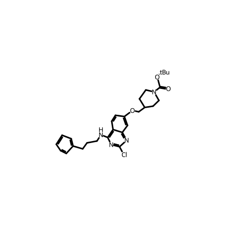 CC(C)(C)OC(=O)N1CCC(COc2ccc3c(NCCCc4ccccc4)nc(Cl)nc3c2)CC1